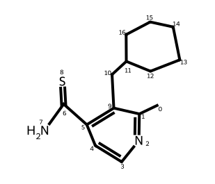 Cc1nccc(C(N)=S)c1CC1CCCCC1